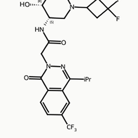 CC(C)c1nn(CC(=O)N[C@H]2CN(C3CC(F)(F)C3)CC[C@H]2O)c(=O)c2ccc(C(F)(F)F)cc12